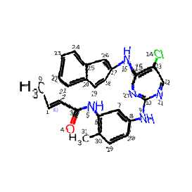 C/C=C/C(=O)Nc1cc(Nc2ncc(Cl)c(Nc3ccc4ccccc4c3)n2)ccc1C